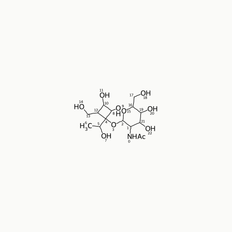 CC(=O)NC1C(OC2(C(C)O)C(O)C(O)C2CO)OC(CO)C(O)C1O